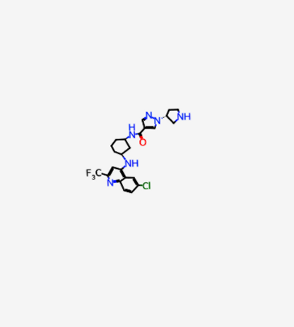 O=C(N[C@@H]1CCC[C@H](Nc2cc(C(F)(F)F)nc3ccc(Cl)cc23)C1)c1cnn([C@@H]2CCNC2)c1